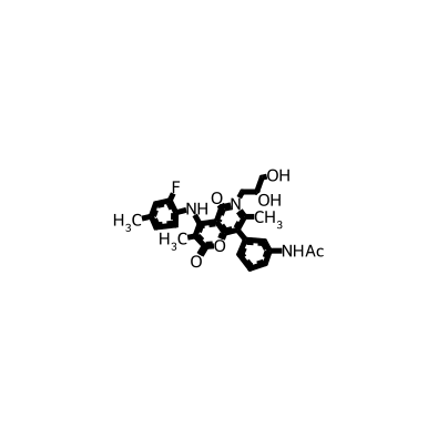 CC(=O)Nc1cccc(-c2c(C)n(CC(O)CO)c(=O)c3c(Nc4ccc(C)cc4F)c(C)c(=O)oc23)c1